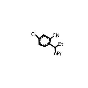 CCCC(CC)c1ccc(Cl)cc1C#N